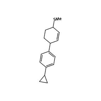 CSC1C=CC(c2ccc(C3CC3)cc2)CC1